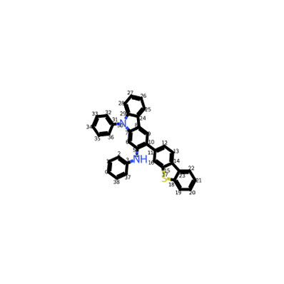 c1ccc(Nc2cc3c(cc2-c2ccc4c(c2)sc2ccccc24)c2ccccc2n3-c2ccccc2)cc1